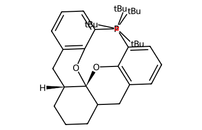 CC(C)(C)P(c1cccc2c1O[C@]13Oc4c(cccc4P(C(C)(C)C)C(C)(C)C)C[C@H]1CCCC3C2)C(C)(C)C